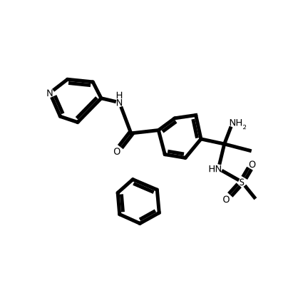 CC(N)(NS(C)(=O)=O)c1ccc(C(=O)Nc2ccncc2)cc1.c1ccccc1